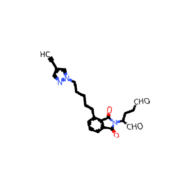 C#Cc1cnn(CCCCCc2cccc3c2C(=O)N(C(C=O)CCC=O)C3=O)c1